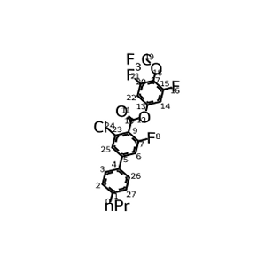 CCCc1ccc(-c2cc(F)c(C(=O)Oc3cc(F)c(OC(F)(F)F)c(F)c3)c(Cl)c2)cc1